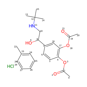 CC(=O)Oc1ccc(C(O)CNC(C)(C)C)cc1OC(C)=O.Cc1ccccc1.Cl